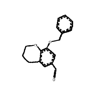 O=Cc1cc2c(c(OCc3ccccc3)c1)OCCC2